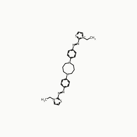 CC[n+]1ccsc1/N=N/c1ccc(N2CCCN(c3ccc(/N=N/c4scc[n+]4CC)cc3)CCC2)cc1